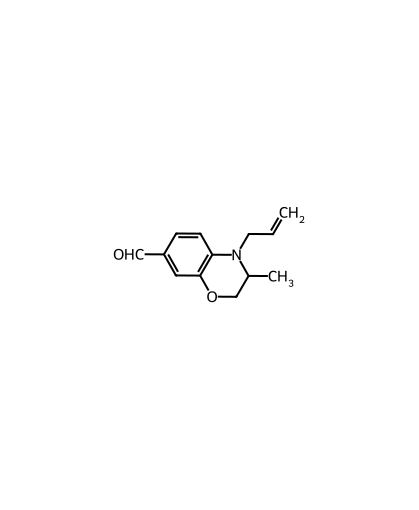 C=CCN1c2ccc(C=O)cc2OCC1C